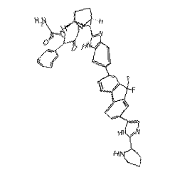 NC(=O)OC(C(=O)N1[C@@H]2CC[C@H](C2)[C@H]1c1nc2ccc(-c3ccc4c(c3)C(F)(F)c3cc(-c5cnc(C6CCCN6)[nH]5)ccc3-4)cc2[nH]1)c1ccccc1